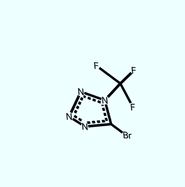 FC(F)(F)n1nnnc1Br